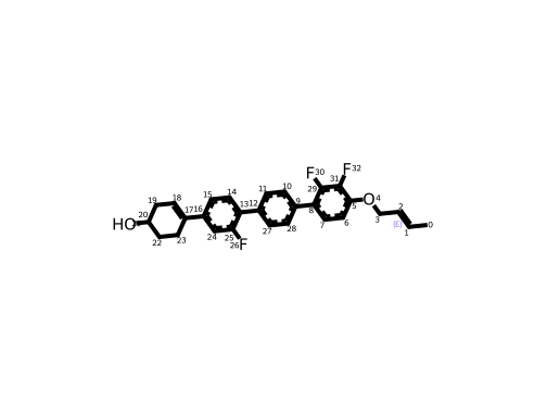 C/C=C/COc1ccc(-c2ccc(-c3ccc(C4=CCC(O)CC4)cc3F)cc2)c(F)c1F